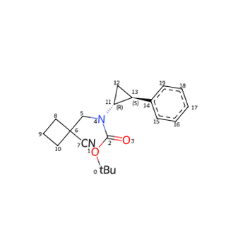 CC(C)(C)OC(=O)N(CC1(C#N)CCC1)[C@@H]1C[C@H]1c1ccccc1